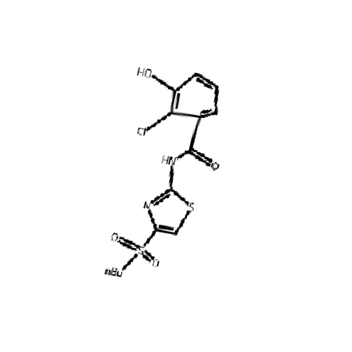 CCCCS(=O)(=O)c1csc(NC(=O)c2cccc(O)c2Cl)n1